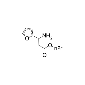 CCCOC(=O)CC(N)c1ccco1